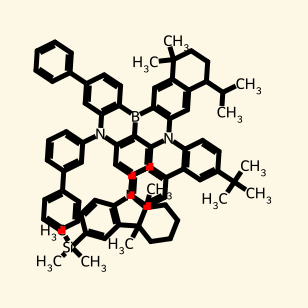 CC(C)C1CCC(C)(C)c2cc3c(cc21)N(c1ccc(C(C)(C)C)cc1-c1ccccc1)c1cc(N2c4ccc([Si](C)(C)C)cc4C4(C)CCCCC24C)cc2c1B3c1ccc(-c3ccccc3)cc1N2c1cccc(-c2ccccc2)c1